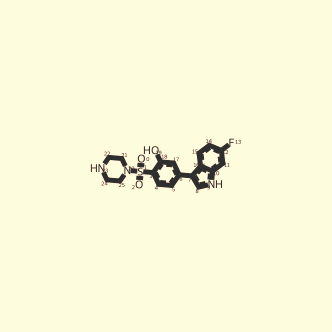 O=S(=O)(c1ccc(-c2c[nH]c3cc(F)ccc23)cc1O)N1CCNCC1